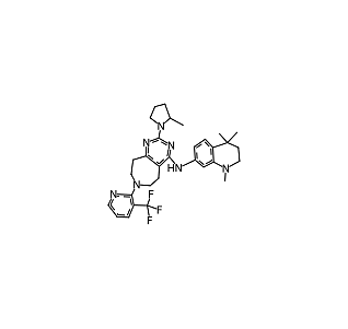 CC1CCCN1c1nc2c(c(Nc3ccc4c(c3)N(C)CCC4(C)C)n1)CCN(c1ncccc1C(F)(F)F)CC2